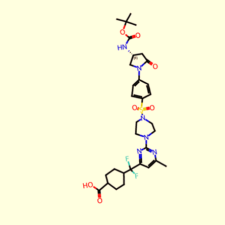 Cc1cc(C(F)(F)C2CCC(C(=O)O)CC2)nc(N2CCN(S(=O)(=O)c3ccc(N4C[C@H](NC(=O)OC(C)(C)C)CC4=O)cc3)CC2)n1